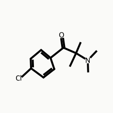 CN(C)C(C)(C)C(=O)c1ccc(Cl)cc1